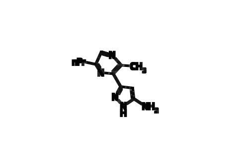 CCCc1cnc(C)c(-c2cc(N)[nH]n2)n1